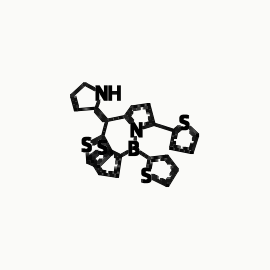 C1=C/C(=C(\c2cccs2)c2ccc(-c3cccs3)n2B(c2cccs2)c2cccs2)NC1